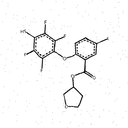 O=C(OC1CCOC1)c1cc(I)ccc1Oc1c(F)c(F)c(S)c(F)c1F